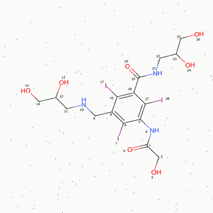 O=C(CO)Nc1c(I)c(CNCC(O)CO)c(I)c(C(=O)NCC(O)CO)c1I